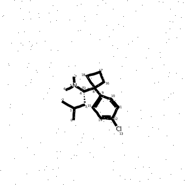 CC(C)C[C@H](N(C)C)C1(c2ccc(Cl)cc2)CCC1